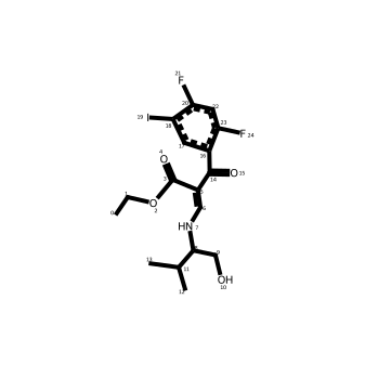 CCOC(=O)C(=CNC(CO)C(C)C)C(=O)c1cc(I)c(F)cc1F